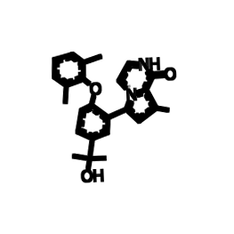 Cc1cccc(C)c1Oc1ccc(C(C)(C)O)cc1-c1cc(C)c2c(=O)[nH]ccn12